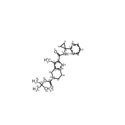 Cc1c(C(=O)NC2(c3ncccn3)CC2)nn2c1CN(C(=O)OC(C)(C)C)CC2